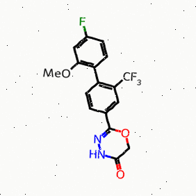 COc1cc(F)ccc1-c1ccc(C2=NNC(=O)CO2)cc1C(F)(F)F